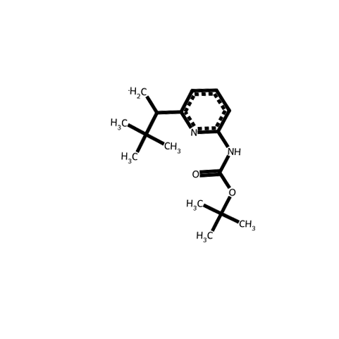 [CH2]C(c1cccc(NC(=O)OC(C)(C)C)n1)C(C)(C)C